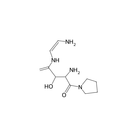 C=C(N/C=C\N)C(O)C(N)C(=O)N1CCCC1